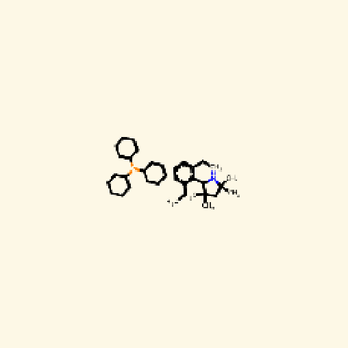 C1CCC(P(C2CCCCC2)C2CCCCC2)CC1.CCc1cccc(CC)c1C1NC(C)(C)CC1(C)C